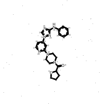 O=C(C1CCCO1)N1CCN(c2cc(-n3cnc(Nc4ccccc4)n3)ccn2)CC1